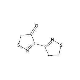 O=C1CSN=C1C1=NSCC1